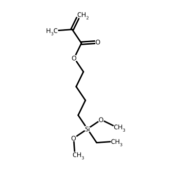 C=C(C)C(=O)OCCCC[Si](CC)(OC)OC